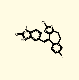 O=c1[nH]c2ccc(/C=C3/c4ccc(F)cc4CCc4nc(Cl)sc43)cc2[nH]1